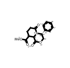 COC(=O)C1CCC(=O)N2C1C(=O)OC[C@H]2c1ccccc1